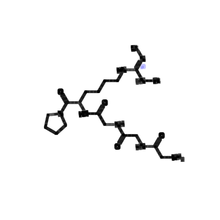 CC/N=C(/NCC)NCCCCC(NC(=O)CNC(=O)CNC(=O)CN)C(=O)N1CCCC1